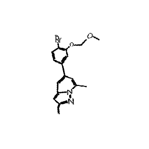 COCOc1cc(-c2cc(C)n3nc(C)cc3c2)ccc1Br